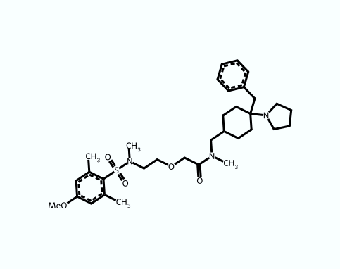 COc1cc(C)c(S(=O)(=O)N(C)CCOCC(=O)N(C)CC2CCC(Cc3ccccc3)(N3CCCC3)CC2)c(C)c1